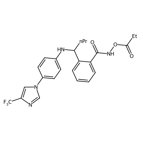 CCCC(Nc1ccc(-n2cnc(C(F)(F)F)c2)cc1)c1ccccc1C(=O)NOC(=O)CC